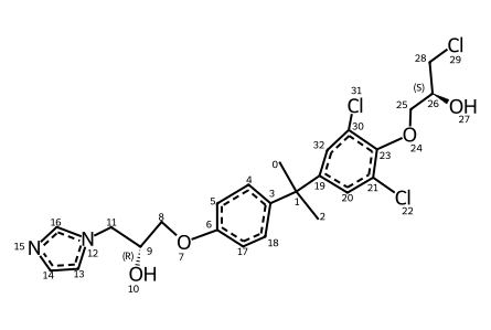 CC(C)(c1ccc(OC[C@H](O)Cn2ccnc2)cc1)c1cc(Cl)c(OC[C@H](O)CCl)c(Cl)c1